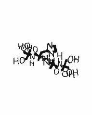 CC(C)(N=NC(C)(CC1=NCCN1)C(=O)NC(CO)(CO)CO)C(=O)NC(CO)(CO)CO